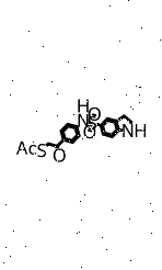 CC(=O)SCC(=O)c1ccc(NS(=O)(=O)c2ccc3c(c2)CCN3)cc1